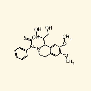 COc1cc2c(cc1OC)C(C(CO)CO)N(N(C(O)=S)c1ccccc1)CC2